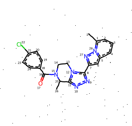 Cc1cccc2cc(-c3nnc4n3CCN(C(=O)c3ccc(Cl)cc3)C4C)nn12